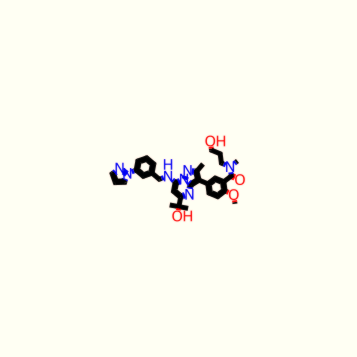 COc1ccc(-c2c(C)nn3c(NCc4cccc(-n5cccn5)c4)cc(C(C)(C)O)nc23)cc1C(=O)N(C)CCCO